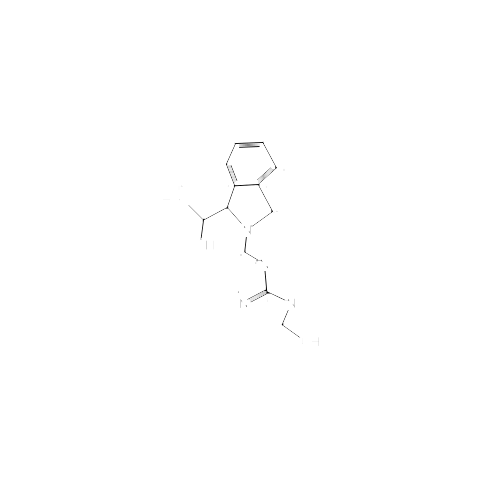 CCNC(=N)NCN1Cc2ccccc2C1C(C)C